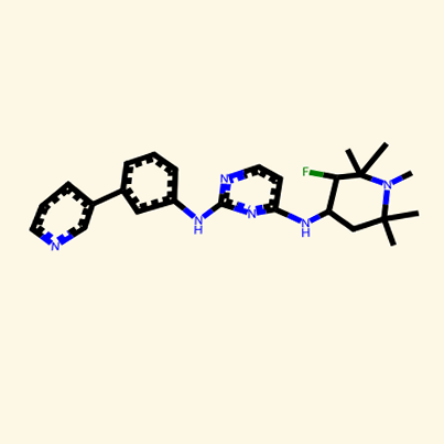 CN1C(C)(C)CC(Nc2ccnc(Nc3cccc(-c4cccnc4)c3)n2)C(F)C1(C)C